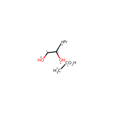 CC(=O)O.CCCC(O)CO